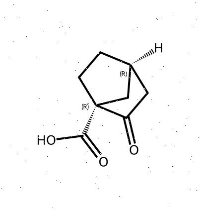 O=C(O)[C@@]12CC[C@@H](CC1=O)C2